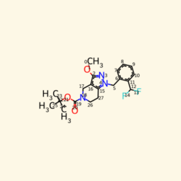 COc1nn(Cc2ccccc2C(F)F)c2c1CN(C(=O)OC(C)(C)C)CC2